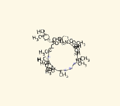 CO[C@H]1C[C@@H]2CC[C@@H](C)[C@@](O)(O2)C(=O)C(=O)N2CCCC[C@H]2C(=O)O[C@H]([C@H](C)C[C@H]2CC[C@@H](O)[C@H](C)C2)CC[C@H](C)/C=C(\C)[C@@H](O)[C@@H](OC)C(=O)[C@H](C)C[C@H](C)/C=C/C=C/C=C/1C